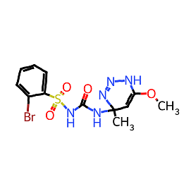 COC1=CC(C)(NC(=O)NS(=O)(=O)c2ccccc2Br)N=NN1